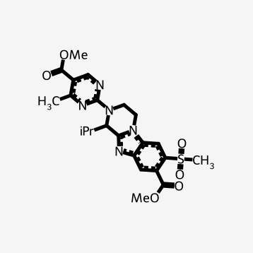 COC(=O)c1cc2nc3n(c2cc1S(C)(=O)=O)CCN(c1ncc(C(=O)OC)c(C)n1)C3C(C)C